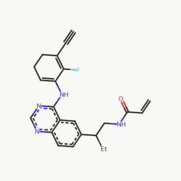 C#CC1=C(F)C(Nc2ncnc3ccc(C(CC)CNC(=O)C=C)cc23)=CCC1